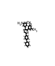 Cc1cc(C)cc(-c2ncc(-c3ccc(-c4ccccc4)cc3)nc2-c2cc(C)cc(I)c2)c1